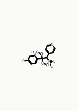 COC(OC)(c1ccc(F)cc1)C(N)c1ccncc1